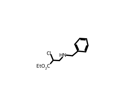 CCOC(=O)C(Cl)CNCc1ccccc1